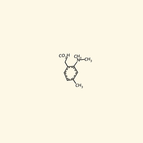 Cc1ccc(CC(=O)O)c(N(C)C)c1